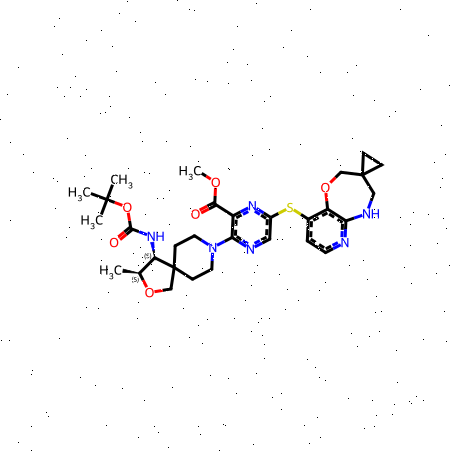 COC(=O)c1nc(Sc2ccnc3c2OCC2(CC2)CN3)cnc1N1CCC2(CC1)CO[C@@H](C)[C@H]2NC(=O)OC(C)(C)C